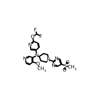 COc1ccncc1N(c1ccc(OC(F)F)nc1)C1CCN(c2ncc(S(C)(=O)=O)cn2)CC1